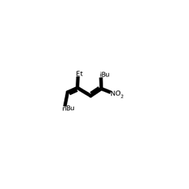 CCCC/C=C(\C=C(/C(C)CC)[N+](=O)[O-])CC